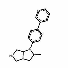 CC1CC2CNCC2N1c1ccc(-c2cccnc2)cc1